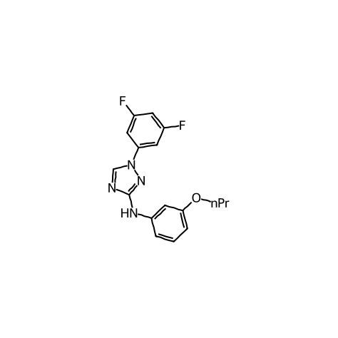 CCCOc1cccc(Nc2ncn(-c3cc(F)cc(F)c3)n2)c1